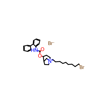 O=C(Nc1ccccc1-c1ccccc1)OC1CC[N+]2(CCCCCCCCCBr)CCC1C2.[Br-]